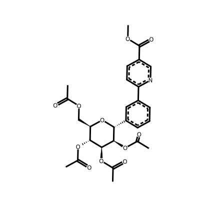 COC(=O)c1ccc(-c2cccc([C@H]3O[C@H](COC(C)=O)[C@@H](OC(C)=O)[C@H](OC(C)=O)[C@@H]3OC(C)=O)c2)nc1